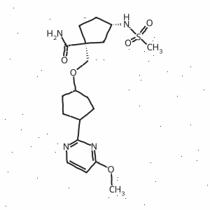 COc1ccnc(C2CCC(OC[C@]3(C(N)=O)CC[C@H](NS(C)(=O)=O)C3)CC2)n1